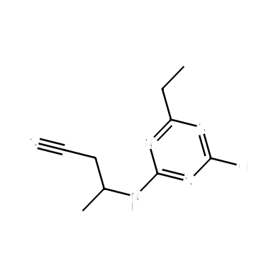 CCc1nc(Cl)nc(NC(C)CC#N)n1